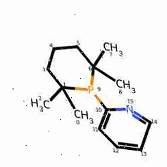 CC1(C)CCCC(C)(C)P1c1ccccn1